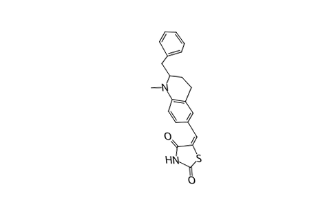 CN1c2ccc(C=C3SC(=O)NC3=O)cc2CCC1Cc1ccccc1